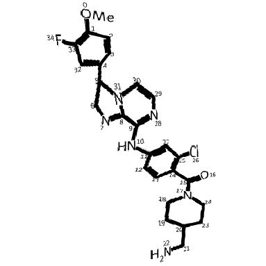 COc1ccc(C2CN=C3C(Nc4ccc(C(=O)N5CCC(CN)CC5)c(Cl)c4)=NC=CN32)cc1F